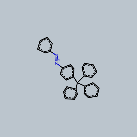 c1ccc(/N=N/c2ccc(C(c3ccccc3)(c3ccccc3)c3ccccc3)cc2)cc1